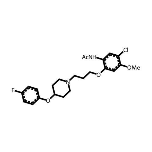 COc1cc(OCCCN2CCC(Oc3ccc(F)cc3)CC2)c(NC(C)=O)cc1Cl